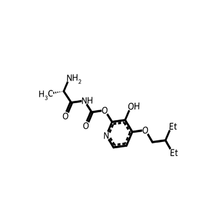 CCC(CC)COc1ccnc(OC(=O)NC(=O)[C@H](C)N)c1O